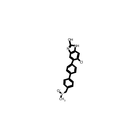 C[S+]([O-])Cc1ccc(-c2ccc(-c3cc4nc(O)[nH]c4cc3Cl)cc2)cc1